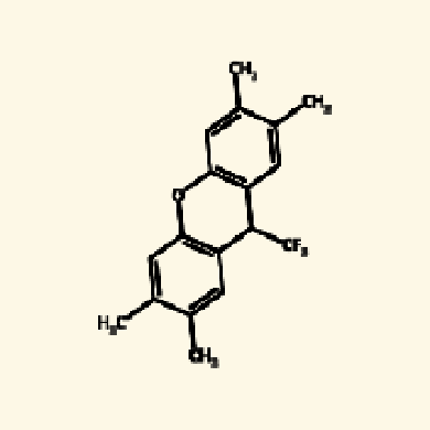 Cc1cc2c(cc1C)C(C(F)(F)F)c1cc(C)c(C)cc1O2